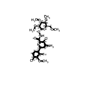 COC[C@H]1O[C@H](ONC(=O)c2nc(-c3ccc(Cl)c(OC)c3F)cc(N)c2Cl)[C@@H](OC)[C@H](OC)[C@@H]1OC